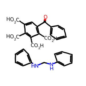 O=C(O)c1cc(C(=O)c2ccccc2)c(C(=O)O)c(C(=O)O)c1C(=O)O.c1ccc(NCNc2ccccc2)cc1